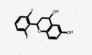 Oc1ccc2c(c1)C(O)CC(c1c(F)cccc1F)O2